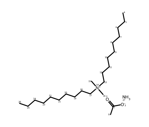 CC(=O)[O-].CCCCCCCCCC[N+](C)(C)CCCCCCCCCC.N